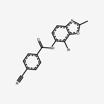 Cc1nc2ccc(NC(=O)c3ccc(C#N)cc3)c(Br)c2o1